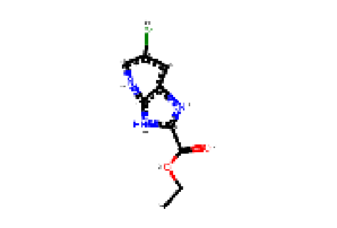 CCOC(=O)c1nc2cc(Br)cnc2[nH]1